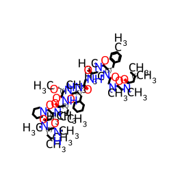 CC[C@H](C)CC(=O)N(C)CC(=O)N(C)CC(=O)N(C)[C@@H](Cc1ccc(C)cc1)C(=O)N(C)CC(=O)NCC(=O)N[C@@H](CC1CCCCC1)C(=O)N(C)[C@@H](COC)C(=O)N[C@H](CC(C)C)C(=O)N(C)[C@@H](CC(=O)N(C)[C@@H](CC(C)C)C(=O)NC)C(=O)N1CCCCC1